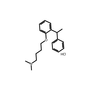 CC(c1ccccc1)c1ccccc1OCCCCN(C)C.Cl